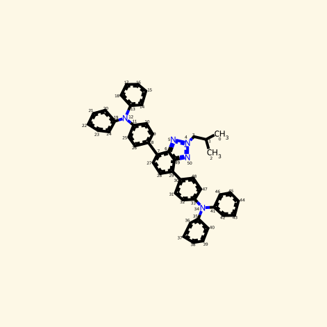 CC(C)Cn1nc2c(-c3ccc(N(c4ccccc4)c4ccccc4)cc3)ccc(-c3ccc(N(c4ccccc4)c4ccccc4)cc3)c2n1